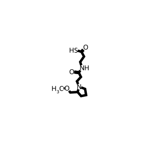 COCC1CCCN1CCC(=O)NCCC(=O)S